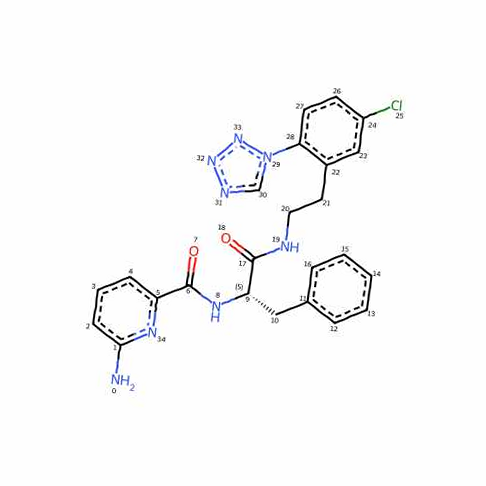 Nc1cccc(C(=O)N[C@@H](Cc2ccccc2)C(=O)NCCc2cc(Cl)ccc2-n2cnnn2)n1